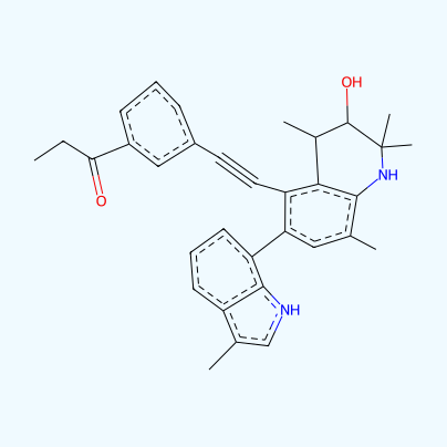 CCC(=O)c1cccc(C#Cc2c(-c3cccc4c(C)c[nH]c34)cc(C)c3c2C(C)C(O)C(C)(C)N3)c1